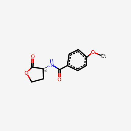 CCOc1ccc(C(=O)N[C@@H]2CCOC2=O)cc1